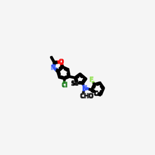 Cc1nc2cc(Cl)c(-c3ccc(N(C=O)c4ccccc4F)[se]3)cc2o1